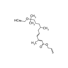 C#CCOC(C)(C)CCCC(C)CC=CC(C)=CC(=O)OCC=S